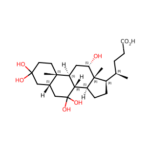 C[C@H](CCC(=O)O)[C@H]1CC[C@H]2[C@H]3[C@H](C[C@H](O)[C@]12C)[C@@]1(C)CCC(O)(O)C[C@H]1CC3(O)O